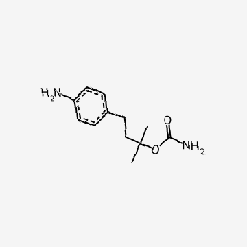 CC(C)(CCc1ccc(N)cc1)OC(N)=O